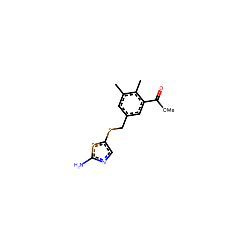 COC(=O)c1cc(CSc2cnc(N)s2)cc(C)c1C